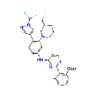 COc1cccc(F)c1-c1nccc(Nc2cc(N3CCC[C@H](CF)C3)c(-c3cnn(C(F)F)c3)cn2)n1